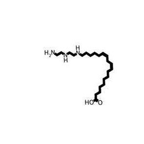 NCCNCCNCCCCC/C=C\C/C=C\CCCCCCCC(=O)O